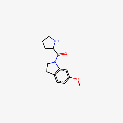 COc1ccc2c(c1)N(C(=O)C1CCCN1)CC2